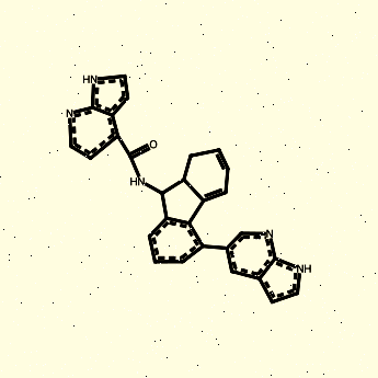 O=C(NC1c2cccc(-c3cnc4[nH]ccc4c3)c2C2=CC=CCC21)c1ccnc2[nH]ccc12